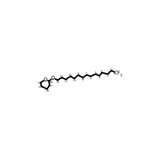 FC(F)(F)CCCCCCCCCCCCCCOC1CCCCO1